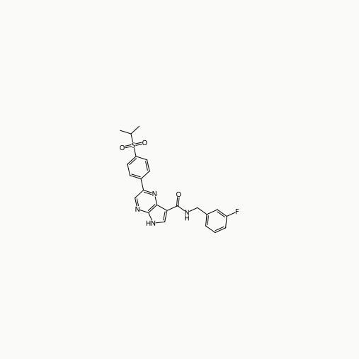 CC(C)S(=O)(=O)c1ccc(-c2cnc3[nH]cc(C(=O)NCc4cccc(F)c4)c3n2)cc1